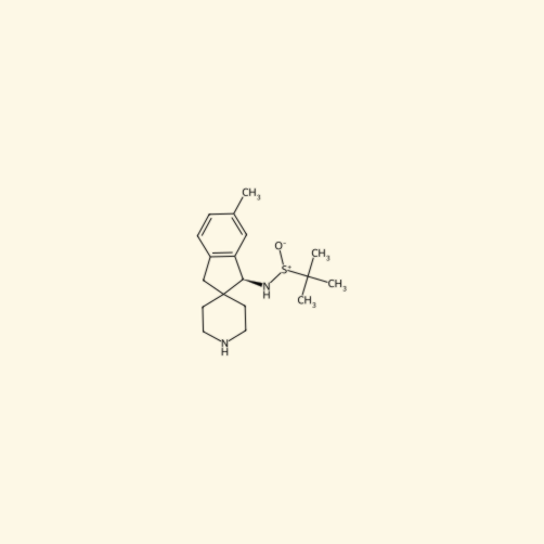 Cc1ccc2c(c1)[C@@H](N[S+]([O-])C(C)(C)C)C1(CCNCC1)C2